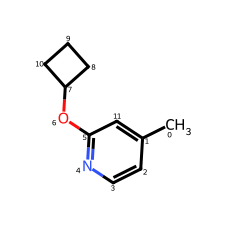 Cc1ccnc(OC2CCC2)c1